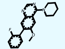 COc1cc2c(N3CCCCC3)ncnc2cc1-c1ccccc1F